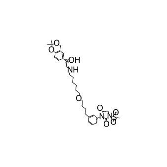 CC1(C)OCc2cc([C@@H](O)CNCCCCCCOCCCCc3cccc(N4C(=O)CN(S(C)(=O)=O)C4=O)c3)ccc2O1